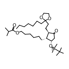 CCCCCCCC1(CC[C@H]2C(=O)C[C@H](O[Si](C)(C)C(C)(C)C)[C@@H]2CCCCCCOC(=O)C(C)C)OCCO1